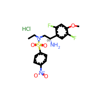 CCN(C[C@@H](N)c1cc(F)c(OC)cc1F)S(=O)(=O)c1ccc([N+](=O)[O-])cc1.Cl